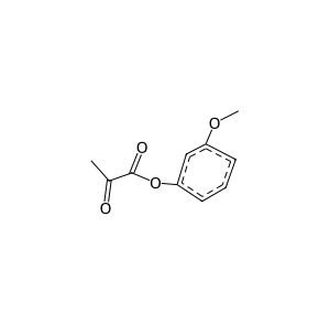 COc1cccc(OC(=O)C(C)=O)c1